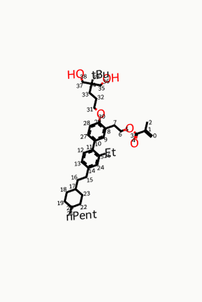 C=C(C)C(=O)OCCc1cc(-c2ccc(CCC3CCC(CCCCC)CC3)cc2CC)ccc1OCCCC(CO)(CO)C(C)(C)C